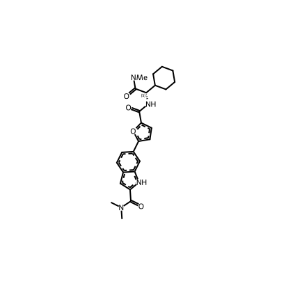 CNC(=O)[C@@H](NC(=O)c1ccc(-c2ccc3cc(C(=O)N(C)C)[nH]c3c2)o1)C1CCCCC1